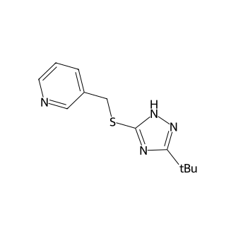 CC(C)(C)c1n[nH]c(SCc2cccnc2)n1